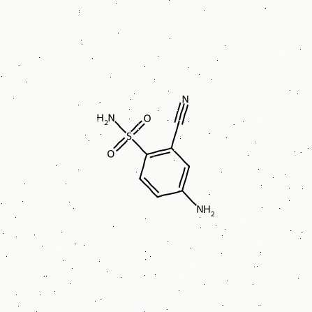 N#Cc1cc(N)ccc1S(N)(=O)=O